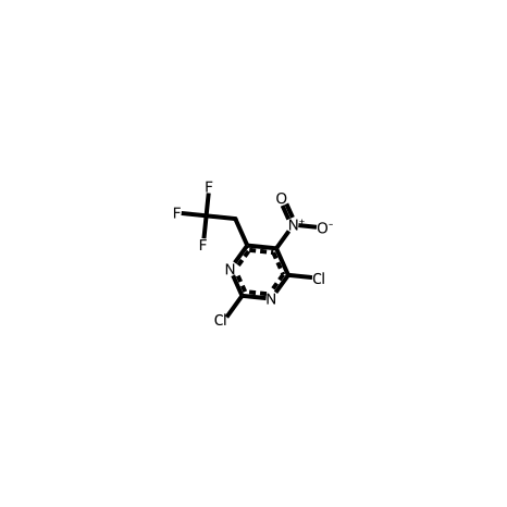 O=[N+]([O-])c1c(Cl)nc(Cl)nc1CC(F)(F)F